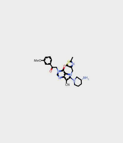 COc1cccc(C(=O)Cn2cnc3c(C#N)c(N4CCC[C@@H](N)C4)n(Cc4csc(C)n4)c3c2=O)c1